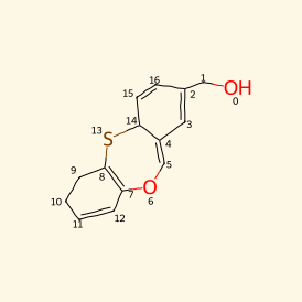 OCC1=CC2=COC3=C(CCC=C3)SC2C=C1